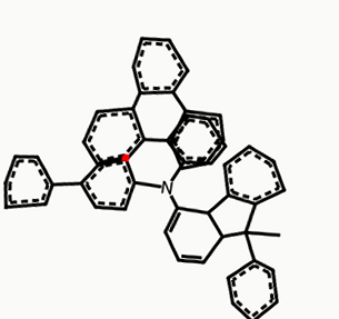 CC1(c2ccccc2)c2ccccc2C2C(N(c3ccc(-c4ccccc4)cc3)c3ccccc3-c3ccccc3-c3ccccc3-c3ccccc3)=CC=CC21